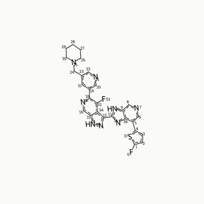 Fc1ccc(-c2cncc3[nH]c(-c4n[nH]c5cnc(-c6cncc(CN7CCCCC7)c6)c(F)c45)nc23)s1